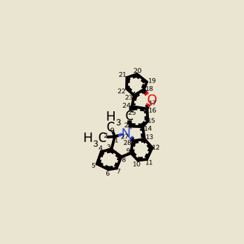 CC1(C)c2ccccc2-c2cccc3c4cc5oc6ccccc6c5cc4n1c23